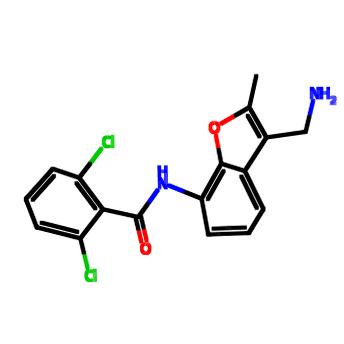 Cc1oc2c(NC(=O)c3c(Cl)cccc3Cl)cccc2c1CN